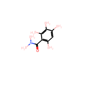 Bc1cc(B)c(C(=O)N(B)B)c(B)c1B